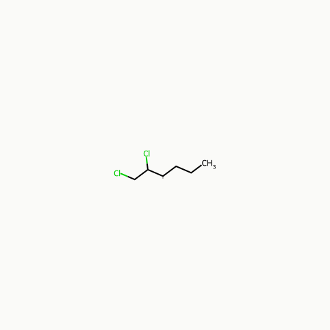 CCC[CH]C(Cl)CCl